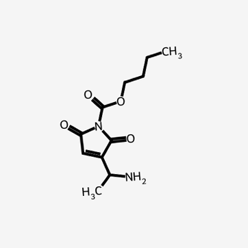 CCCCOC(=O)N1C(=O)C=C(C(C)N)C1=O